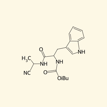 CC(C)COC(=O)NC(Cc1c[nH]c2ccccc12)C(=O)NC(C)C#N